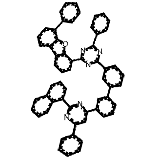 c1ccc(-c2cc(-c3cccc(-c4cccc(-c5nc(-c6ccccc6)nc(-c6cccc7c6oc6c(-c8ccccc8)cccc67)n5)c4)c3)nc(-c3cccc4ccccc34)n2)cc1